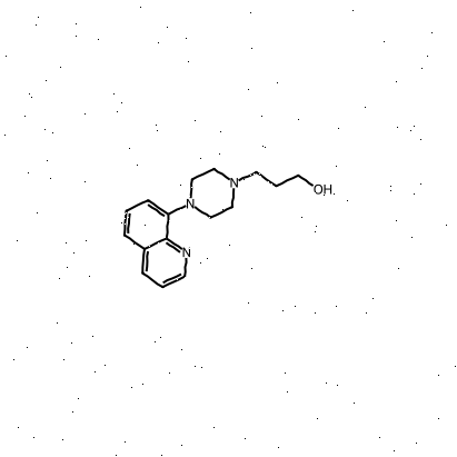 OCCCN1CCN(c2cccc3cccnc23)CC1